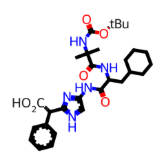 CC(C)(C)OC(=O)NC(C)(C)C(=O)NC(CC1CCCCC1)C(=O)Nc1c[nH]c(C(C(=O)O)c2ccccc2)n1